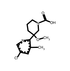 COC1(c2ncc(Cl)cc2C)CCCN(C(=O)O)C1